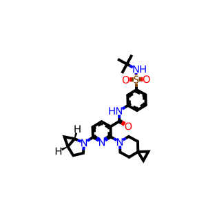 CC(C)(C)NS(=O)(=O)c1cccc(NC(=O)c2ccc(N3CC[C@@H]4C[C@@H]43)nc2N2CCC3(CC2)CC3)c1